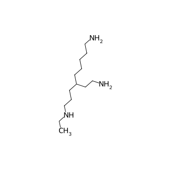 CCNCCCC(CCN)CCCCCN